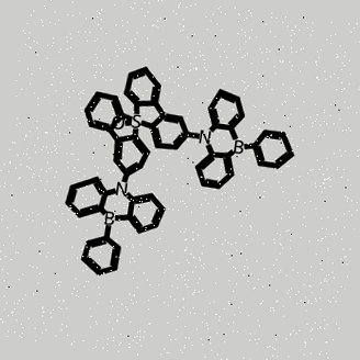 O=S12(c3ccccc3-c3cc(N4c5ccccc5B(c5ccccc5)c5ccccc54)ccc31)c1ccccc1-c1cc(N3c4ccccc4B(c4ccccc4)c4ccccc43)ccc12